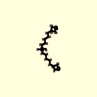 C[Si](C)(CCCCCC1COC1)CCCCCC1COC1